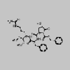 CCCCOC(OCCCC)[C@H](CCCNC(=N)N)NC(=O)[C@H](Cc1ccccc1)NC(=O)[C@H]1CCC(=O)N1C(=O)OCc1ccccc1.Cl